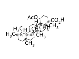 CC(=O)OC1CC[C@](C)(C(=O)O)[C@@H]2CC[C@]3(C)[C@H](CC=C4[C@@H]5[C@@H](C)[C@H](C)CC[C@]5(C)CC[C@]43C)[C@@]12C